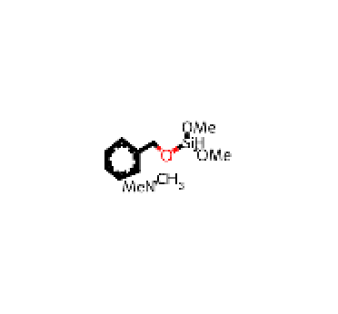 CNC.CO[SiH](OC)OCc1ccccc1